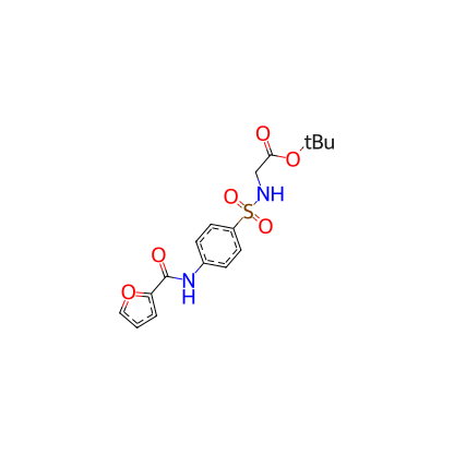 CC(C)(C)OC(=O)CNS(=O)(=O)c1ccc(NC(=O)c2ccco2)cc1